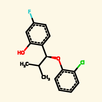 CC(C)[C@H](Oc1ccccc1Cl)c1ccc(F)cc1O